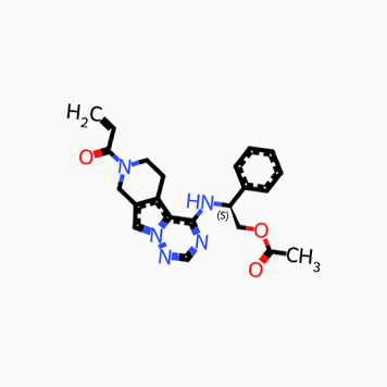 C=CC(=O)N1CCc2c(cn3ncnc(N[C@H](COC(C)=O)c4ccccc4)c23)C1